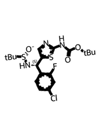 CC(C)(C)OC(=O)Nc1ncc([C@@H](N[S+]([O-])C(C)(C)C)c2ccc(Cl)cc2F)s1